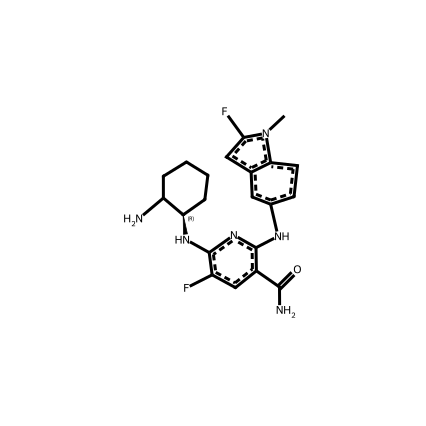 Cn1c(F)cc2cc(Nc3nc(N[C@@H]4CCCCC4N)c(F)cc3C(N)=O)ccc21